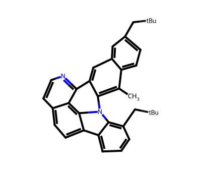 Cc1c2ccc(CC(C)(C)C)cc2cc2c3nccc4ccc5c6cccc(CC(C)(C)C)c6n(c12)c5c43